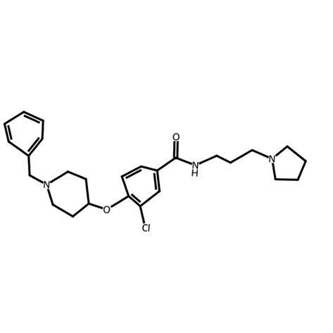 O=C(NCCCN1CCCC1)c1ccc(OC2CCN(Cc3ccccc3)CC2)c(Cl)c1